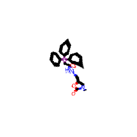 CN1CC(CNC(=O)C=P(c2ccccc2)(c2ccccc2)c2ccccc2)OC1=O